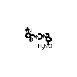 COc1ccc2sc(C)nc2c1CCN1CCC(n2ccc3ccc(C(N)=O)cc32)CC1